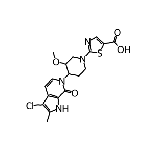 COC1CN(c2ncc(C(=O)O)s2)CCC1n1ccc2c(Cl)c(C)[nH]c2c1=O